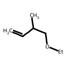 [CH2]COCC(C)C=C